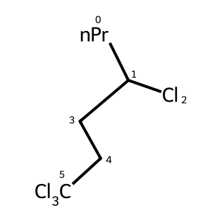 CCCC(Cl)CCC(Cl)(Cl)Cl